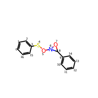 c1ccc(SON2OC2c2ccccc2)cc1